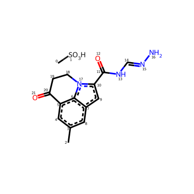 CS(=O)(=O)O.Cc1cc2c3c(c1)cc(C(=O)NC=NN)n3CCC2=O